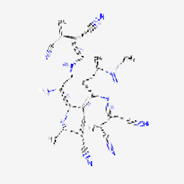 C=C(CC(/N=C(/C#N)C(C)C#N)=c1/cc(C#N)c(C)n/c1=C(\N)CN/C=C(/C#N)C(=C)C#N)NC